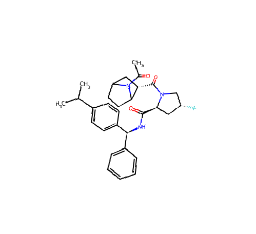 CC(=O)N1C2CCC1[C@@H](C(=O)N1C[C@H](F)C[C@H]1C(=O)N[C@@H](c1ccccc1)c1ccc(C(C)C)cc1)C2